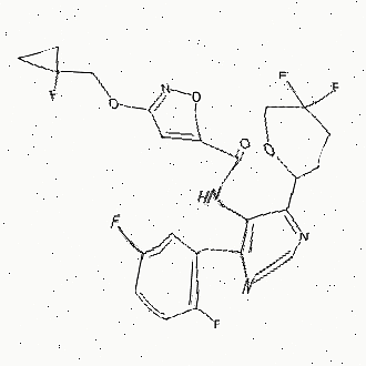 O=C(Nc1c(-c2cc(F)ccc2F)ncnc1C1CCC(F)(F)CO1)c1cc(OCC2(F)CC2)no1